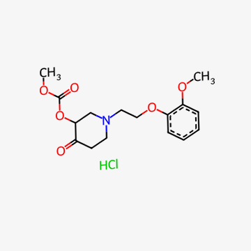 COC(=O)OC1CN(CCOc2ccccc2OC)CCC1=O.Cl